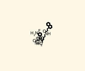 CC(CN(C(CO)CCCCNC(=O)[CH]Cc1cccc2ccccc12)S(=O)(=O)c1ccc(F)c(N)c1)C(N)=O